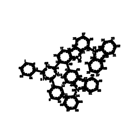 c1ccc(-c2nc(-c3ccccc3)nc(-c3ccc4c(oc5c(-n6c7ccccc7c7ccccc76)cccc54)c3-c3ccc4c(c3)c3ccccc3n4-c3ccccc3)n2)cc1